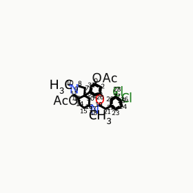 CC(=O)Oc1cccc(C23CCN(C)CC2(OC(C)=O)CCC(N(C)C(=O)Cc2ccc(Cl)c(Cl)c2)C3)c1